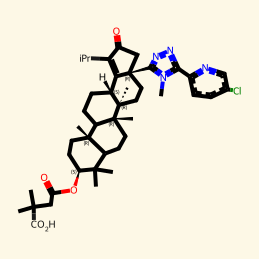 CC(C)C1=C2[C@H]3CCC4[C@@]5(C)CC[C@H](OC(=O)CC(C)(C)C(=O)O)C(C)(C)C5CC[C@@]4(C)[C@]3(C)CC[C@@]2(c2nnc(-c3ccc(Cl)cn3)n2C)CC1=O